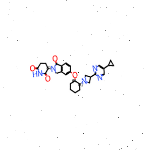 O=C1CC[C@H](N2Cc3cc(O[C@@H]4CCCC[C@H]4N4CC(c5ncc(C6CC6)cn5)C4)ccc3C2=O)C(=O)N1